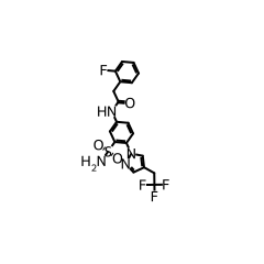 NS(=O)(=O)c1cc(NC(=O)Cc2ccccc2F)ccc1-n1cc(CC(F)(F)F)cn1